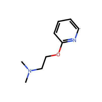 CN(C)CCOc1ccc[c]n1